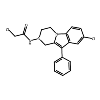 O=C(CCl)NN1CCn2c(c(-c3ccccc3)c3cc(Cl)ccc32)C1